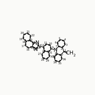 C=C1c2ccccc2N(c2ccc(-n3nc4ccc5ccccc5c4n3)c3ccccc23)c2ccccc21